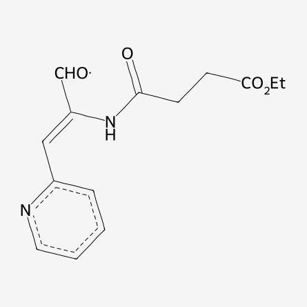 CCOC(=O)CCC(=O)NC([C]=O)=Cc1ccccn1